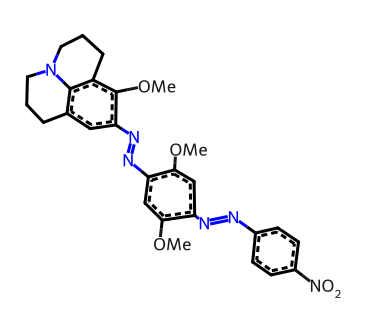 COc1cc(/N=N/c2cc3c4c(c2OC)CCCN4CCC3)c(OC)cc1/N=N/c1ccc([N+](=O)[O-])cc1